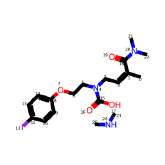 CC(=CCN(CCOc1ccc(I)cc1)C(=O)O)C(=O)N(C)C.CNC